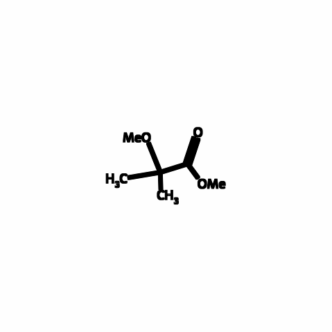 [CH2]OC(C)(C)C(=O)OC